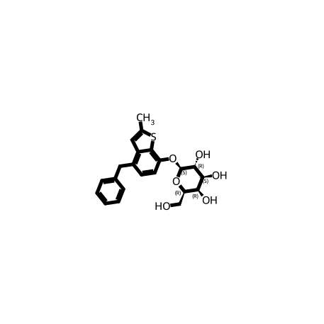 Cc1cc2c(Cc3ccccc3)ccc(O[C@@H]3O[C@H](CO)[C@H](O)[C@H](O)[C@H]3O)c2s1